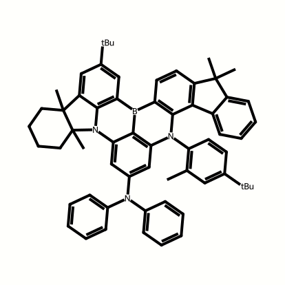 Cc1cc(C(C)(C)C)ccc1N1c2cc(N(c3ccccc3)c3ccccc3)cc3c2B(c2ccc4c(c21)-c1ccccc1C4(C)C)c1cc(C(C)(C)C)cc2c1N3C1(C)CCCCC21C